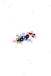 Cc1nnc(N[C@H](C)c2cccc(C(F)(F)C(C)(C)O)c2F)c2cc3c(cc12)OC(C(=O)N1CCOCC1)CO3